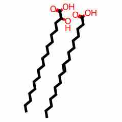 CCCCCCCCC=CCCCCCCCC(=O)O.CCCCCCCCCCCCCCCCC(O)C(=O)O